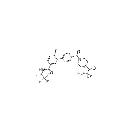 CC(NC(=O)c1ccc(F)c(-c2ccc(C(=O)N3CCN(C(=O)C4(O)CC4)CC3)cc2)c1)C(F)(F)F